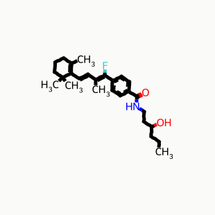 CCCC(O)CCNC(=O)c1ccc(/C(F)=C(C)/C=C/C2=C(C)CCCC2(C)C)cc1